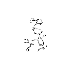 O=C1NC(=O)C(=Cc2cc(C(F)(F)F)cc(Cl)c2N2CCN(Cc3ccccc3Cl)CC2)S1